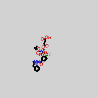 CC1Cc2ccccc2N1NC(=O)c1ccc(Cl)c(S(=O)(=O)N(COC(=O)CCC(=O)O)C(=O)OC(C)(C)C)c1